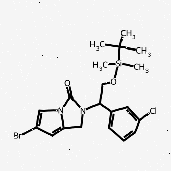 CC(C)(C)[Si](C)(C)OCC(c1cccc(Cl)c1)N1Cc2cc(Br)cn2C1=O